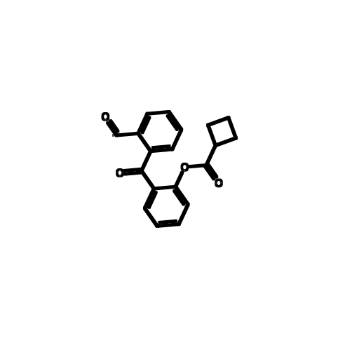 O=[C]c1ccccc1C(=O)c1ccccc1OC(=O)C1CCC1